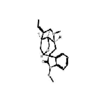 C/C=C1\CN(C)[C@H]2C[C@@]3(C(=O)N(OC)c4ccccc43)[C@H]3C[C@@H]1[C@@H]2CO3